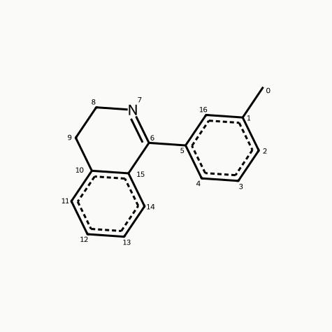 Cc1cccc(C2=NCCc3ccccc32)c1